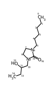 CCCCCCN1CCN(CC(O)CC)C1=O